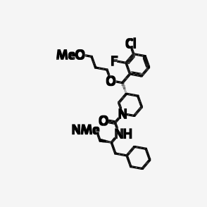 CNC[C@H](CC1CCCCC1)NC(=O)N1CCC[C@@H](C(OCCCOC)c2cccc(Cl)c2F)C1